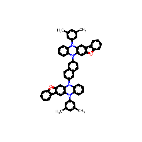 Cc1cc(C)cc(N2c3ccccc3N(c3ccc4cc(N5c6ccccc6N(c6cc(C)cc(C)c6)c6cc7c(cc65)oc5ccccc57)ccc4c3)c3cc4oc5ccccc5c4cc32)c1